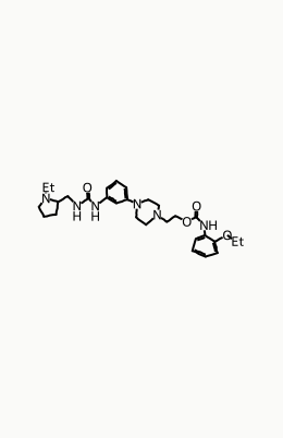 CCOc1ccccc1NC(=O)OCCN1CCN(c2cccc(NC(=O)NCC3CCCN3CC)c2)CC1